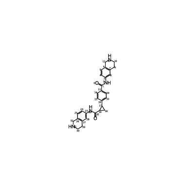 O=C(Nc1ccc2c(c1)CCNC2)c1ccc(C2CC2C(=O)Nc2ccc3c(c2)CCNC3)cc1